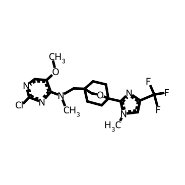 COc1cnc(Cl)nc1N(C)CC12CCC(c3nc(C(F)(F)F)cn3C)(CC1)OC2